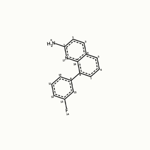 Nc1ccc2cccc(-c3cccc(F)c3)c2n1